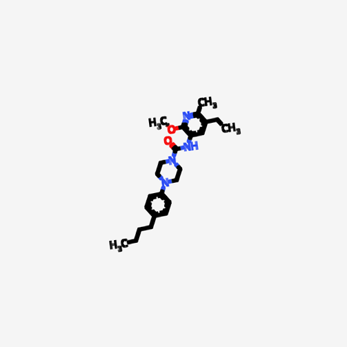 CCCCc1ccc(N2CCN(C(=O)Nc3cc(CC)c(C)nc3OC)CC2)cc1